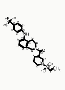 C=CS(=O)(=O)N1CCCC(C(=O)N2CCc3c(cccc3Nc3ccc(C(F)(F)F)cc3)C2)C1